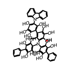 OCc1c(-c2c(O)c(O)c(O)c(-n3c4ccccc4c4ccccc43)c2O)c(O)c(O)c(O)c1N(c1c(O)c(O)c(-c2ccccc2)c(O)c1O)c1c(O)c(O)c(-c2ccccc2)c(O)c1O